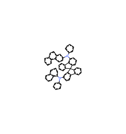 c1ccc(N(c2ccc3c(ccc4ccccc43)c2)c2cccc3c2-c2ccccc2C32c3ccccc3-c3ccc(N(c4ccccc4)c4cccc5ccccc45)cc32)cc1